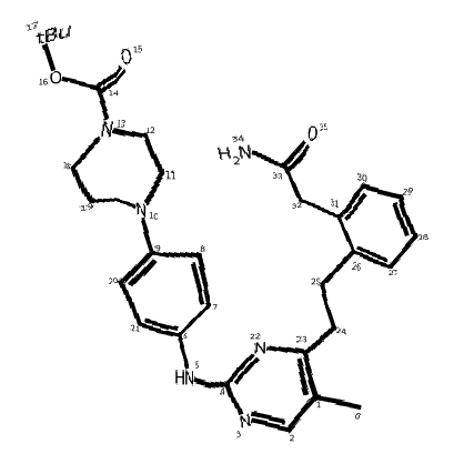 Cc1cnc(Nc2ccc(N3CCN(C(=O)OC(C)(C)C)CC3)cc2)nc1CCc1ccccc1CC(N)=O